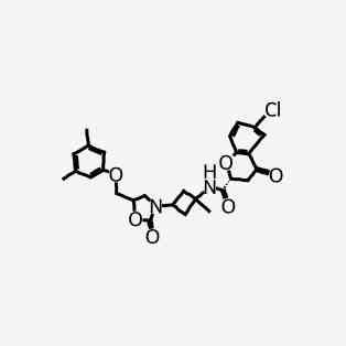 Cc1cc(C)cc(OCC2CN(C3CC(C)(NC(=O)[C@H]4CC(=O)c5cc(Cl)ccc5O4)C3)C(=O)O2)c1